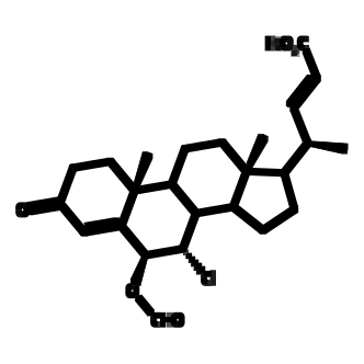 CCOC(=O)/C=C/[C@@H](C)C1CCC2C3C(CC[C@@]21C)[C@@]1(C)CCC(=O)C=C1[C@H](OC=O)[C@H]3Cl